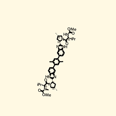 COC(=O)N[C@H](C(=O)N1C[C@@H](C)C[C@H]1c1nc2cc(-c3cc(C)c(-c4ccc5[nH]c([C@@H]6C[C@H](C)CN6C(=O)[C@H](C(C)C)N(C)C(=O)OC)nc5c4)cc3C)ccc2[nH]1)C(C)C